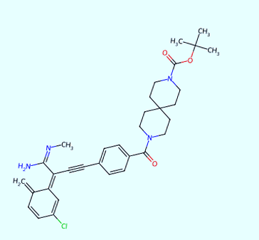 C=c1ccc(Cl)c/c1=C(C#Cc1ccc(C(=O)N2CCC3(CCN(C(=O)OC(C)(C)C)CC3)CC2)cc1)/C(N)=N\C